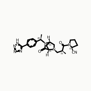 C[C@H](c1ccc(-c2nnn[nH]2)cc1)N1C(=O)[C@@H]2C[C@H]1CN2C[C@H](C)C(=O)N1CCC[C@H]1C#N